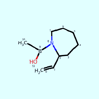 C=CC1CCCCCN1B(C)O